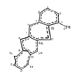 [Fe][c]1cccc2cc3cc4ccccc4cc3cc12